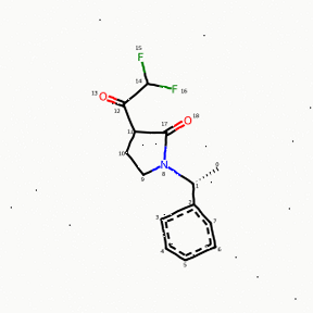 C[C@H](c1ccccc1)N1CCC(C(=O)C(F)F)C1=O